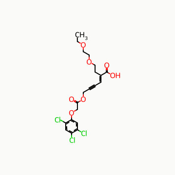 CCOCCOCC/C(=C\C#CCOC(=O)COc1cc(Cl)c(Cl)cc1Cl)C(=O)O